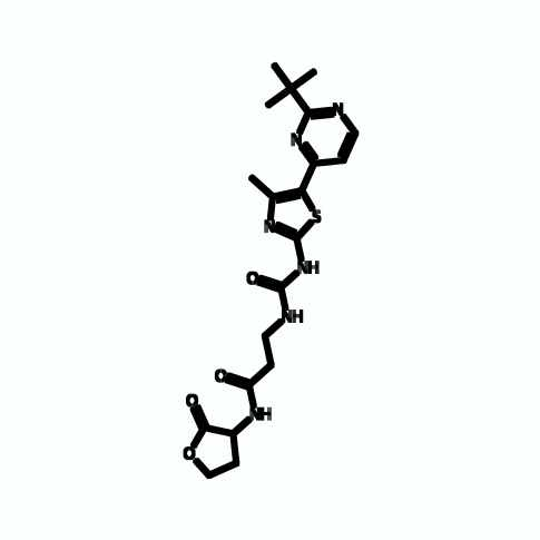 Cc1nc(NC(=O)NCCC(=O)NC2CCOC2=O)sc1-c1ccnc(C(C)(C)C)n1